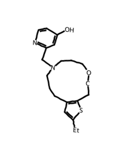 CCc1cc2c(s1)CCOCCCN(Cc1cc(O)ccn1)CCC2